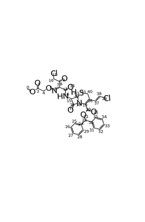 COC(=O)CON=C(C(=O)CCl)C(=O)NC1C(=O)N2C(C(=O)OC(c3ccccc3)c3ccccc3)=C(/C=C/Cl)CS[C@@H]12